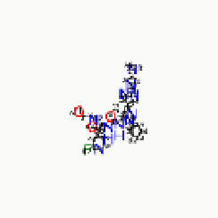 COCCN1C[C@@H](NC(=O)Nc2c(C)c(-c3cnc(N4CC(N(C)C)C4)nc3)nn2-c2ccccc2)[C@H](c2ccnc(F)c2)O1